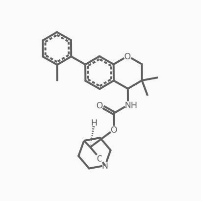 Cc1ccccc1-c1ccc2c(c1)OCC(C)(C)C2NC(=O)O[C@H]1CN2CCC1CC2